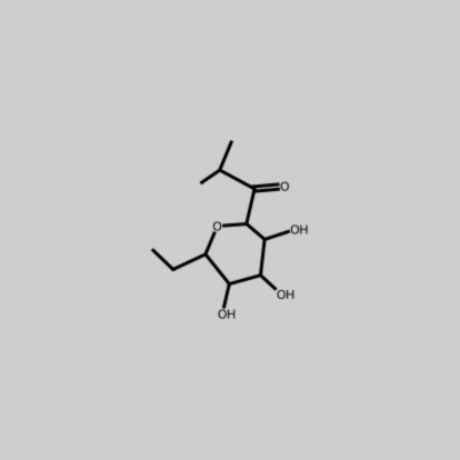 CCC1OC(C(=O)C(C)C)C(O)C(O)C1O